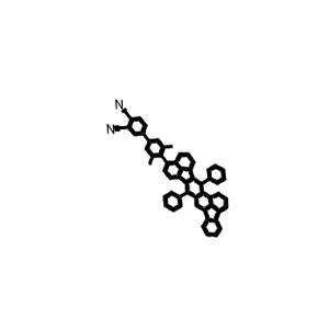 Cc1cc(-c2ccc(C#N)c(C#N)c2)cc(C)c1-c1ccc2c3c(-c4ccccc4)c4cc5c6ccccc6c6cccc(c4c(-c4ccccc4)c3c3cccc1c23)c65